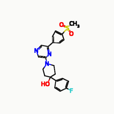 CS(=O)(=O)c1ccc(-c2cncc(N3CCC(O)(c4ccc(F)cc4)CC3)n2)cc1